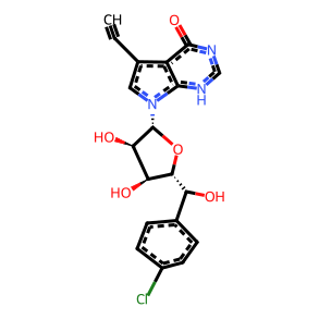 C#Cc1cn([C@@H]2O[C@H](C(O)c3ccc(Cl)cc3)[C@@H](O)[C@H]2O)c2[nH]cnc(=O)c12